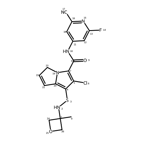 CC1(NSc2c(Cl)c(C(=O)Nc3cc(F)nc(C#N)c3)n3c2C=CC3)COC1